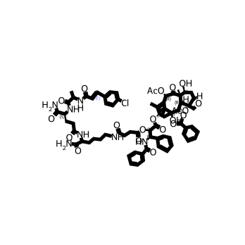 CC(=O)O[C@H]1C(=O)[C@@]2(C)[C@H]([C@H](OC(=O)c3ccccc3)[C@]3(O)C[C@H](OC(=O)[C@H](OC(=O)CCC(=O)NCCCCC(NC(=O)CC[C@H](NC(=O)C(C)NC(=O)/C=C/c4ccc(Cl)cc4)C(N)=O)C(N)=O)[C@H](NC(=O)c4ccccc4)c4ccccc4)C(C)=C1C3(C)C)[C@]1(OC(C)=O)CO[C@@H]1C[C@@H]2O